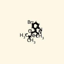 Cc1nnc2ccc(Br)cc2c1C(=O)NC(C)C